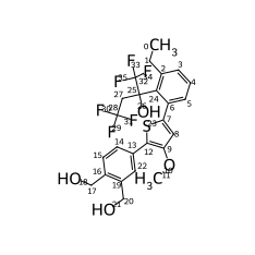 CCc1cccc(-c2cc(OC)c(-c3ccc(CO)c(CO)c3)s2)c1C(O)(CC(F)(F)F)C(F)(F)F